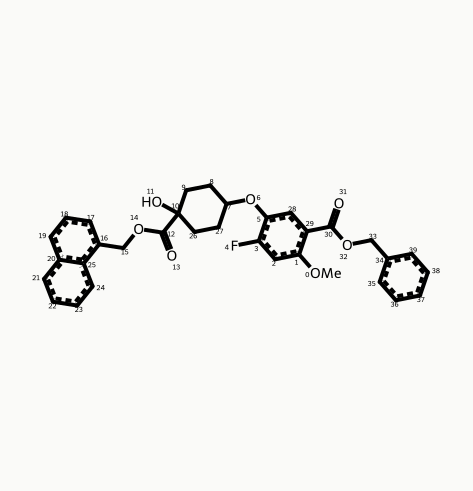 COc1cc(F)c(OC2CCC(O)(C(=O)OCc3cccc4ccccc34)CC2)cc1C(=O)OCc1ccccc1